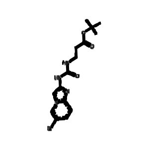 CC(C)(C)OC(=O)CCNC(=O)Nc1cn2cc(Br)ccc2n1